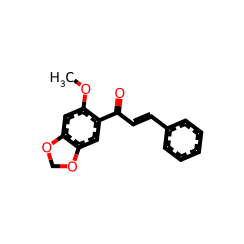 COc1cc2c(cc1C(=O)C=Cc1ccccc1)OCO2